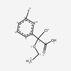 CCOC(Cl)(C(=O)O)c1cccc(F)n1